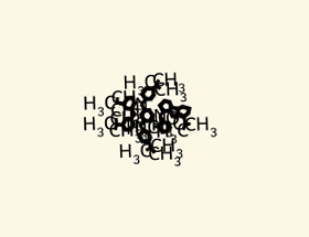 Cc1ccccc1N(c1cc2c3c(c1)N(c1ccc(C(C)(C)C)cc1)c1ccc(C(C)(C)C)cc1B3c1cc(C(C)(C)C)ccc1N2c1ccc(C(C)(C)C)cc1)c1cccc2c1oc1c(C(C)(C)C)cccc12